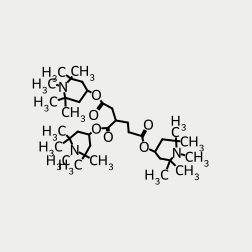 CN1C(C)(C)CC(OC(=O)CCC(CC(=O)OC2CC(C)(C)N(C)C(C)(C)C2)C(=O)OC2CC(C)(C)N(C)C(C)(C)C2)CC1(C)C